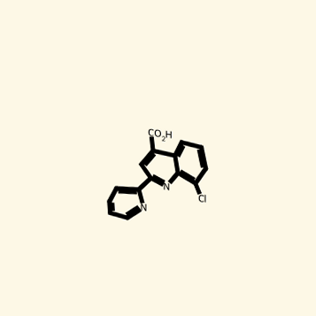 O=C(O)c1cc(-c2ccccn2)nc2c(Cl)cccc12